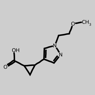 COCCn1cc(C2CC2C(=O)O)cn1